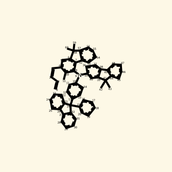 C=C/C=C\c1cc2c(c(N(c3ccc(C4(c5ccccc5)c5ccccc5-c5ccccc54)cc3)c3ccc4c(c3)C(C)(C)c3ccccc3-4)c1C)-c1ccccc1C2(C)C